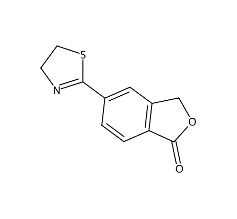 O=C1OCc2cc(C3=NCCS3)ccc21